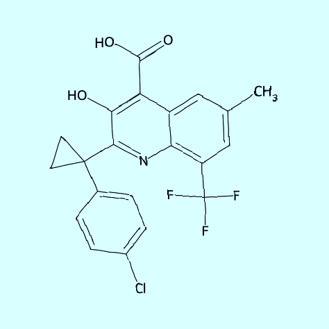 Cc1cc(C(F)(F)F)c2nc(C3(c4ccc(Cl)cc4)CC3)c(O)c(C(=O)O)c2c1